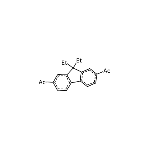 CCC1(CC)c2cc(C(C)=O)ccc2-c2ccc(C(C)=O)cc21